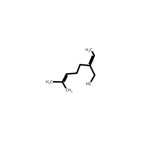 C/C=C(/CS)CCC=C(C)C